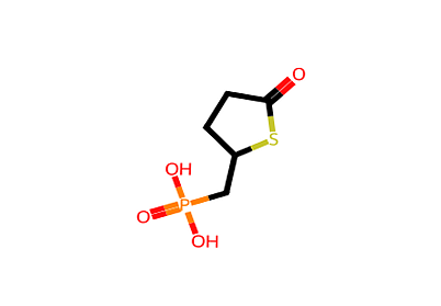 O=C1CCC(CP(=O)(O)O)S1